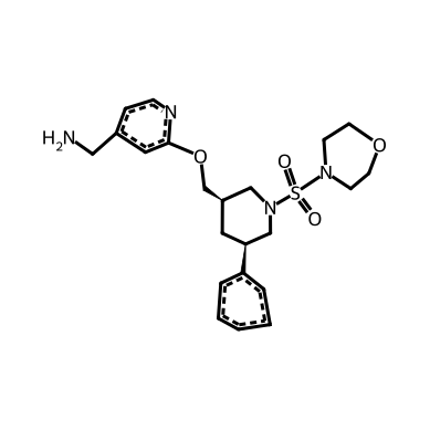 NCc1ccnc(OC[C@@H]2C[C@H](c3ccccc3)CN(S(=O)(=O)N3CCOCC3)C2)c1